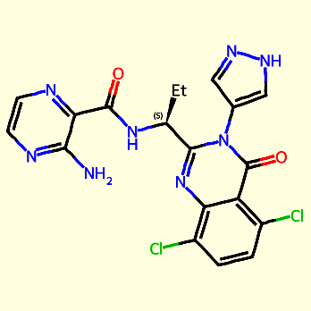 CC[C@H](NC(=O)c1nccnc1N)c1nc2c(Cl)ccc(Cl)c2c(=O)n1-c1cn[nH]c1